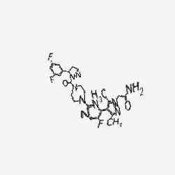 Cc1nn(CC(N)=O)c(C)c1-c1nc(N2CCN(C(=O)N3N=CCC3c3cc(F)cc(F)c3)CC2)ncc1F